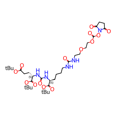 CC(C)(C)OC(=O)CC[C@H](NC(=O)N[C@@H](CCCCNC(=O)NCCOCCOC(=O)ON1C(=O)CCC1=O)C(=O)OC(C)(C)C)C(=O)OC(C)(C)C